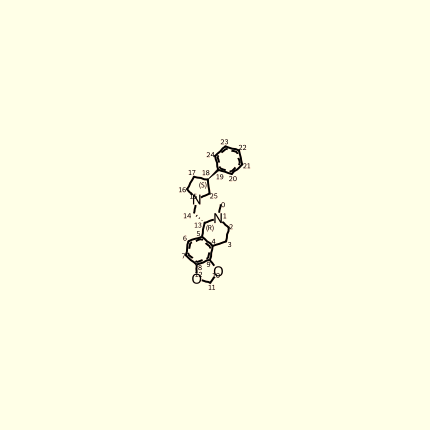 CN1CCc2c(ccc3c2OCO3)[C@@H]1CN1CC[C@@H](c2ccccc2)C1